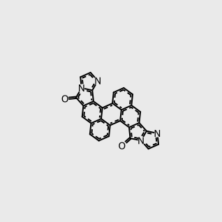 O=c1c2c(cc3cccc4c3c2c2cccc3cc5c(=O)n6ccnc6c5c4c32)c2nccn12